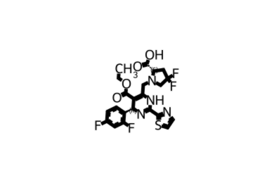 CCOC(=O)C1=C(CN2CC(F)(F)C[C@H]2C(=O)O)NC(c2nccs2)=N[C@H]1c1ccc(F)cc1F